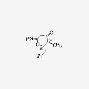 CC(C)C[C@@H]1OC(=N)CC(=O)[C@H]1C